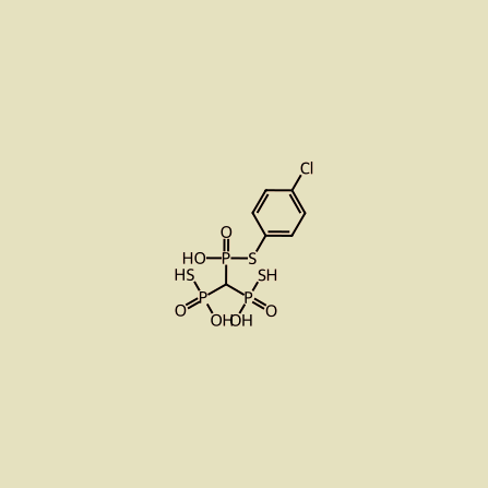 O=P(O)(S)C(P(=O)(O)S)P(=O)(O)Sc1ccc(Cl)cc1